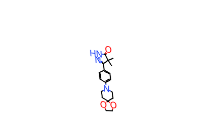 CC1(C)C(=O)NN=C1c1ccc(N2CCC3(CC2)OCCO3)cc1